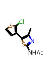 CC(=O)Nc1nc(C)c(-c2ccsc2Cl)s1